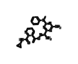 C=C(O/N=C(\N)c1nc(N)nc(N(C)c2ccccc2)n1)c1cccnc1C(=O)NC1CC1